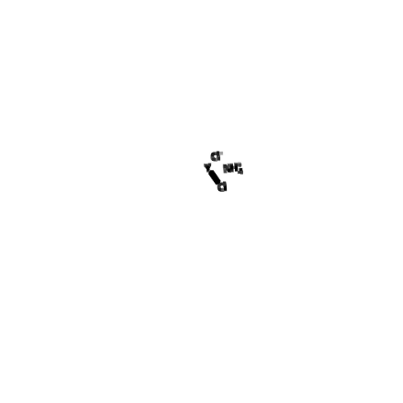 [Cl-].[Cl][Y].[NH4+]